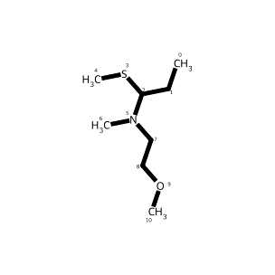 CCC(SC)N(C)CCOC